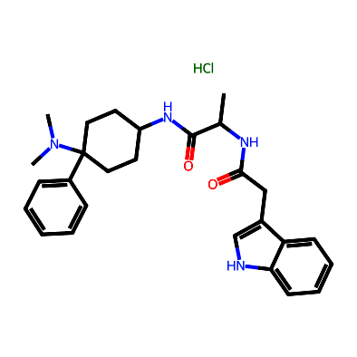 CC(NC(=O)Cc1c[nH]c2ccccc12)C(=O)NC1CCC(c2ccccc2)(N(C)C)CC1.Cl